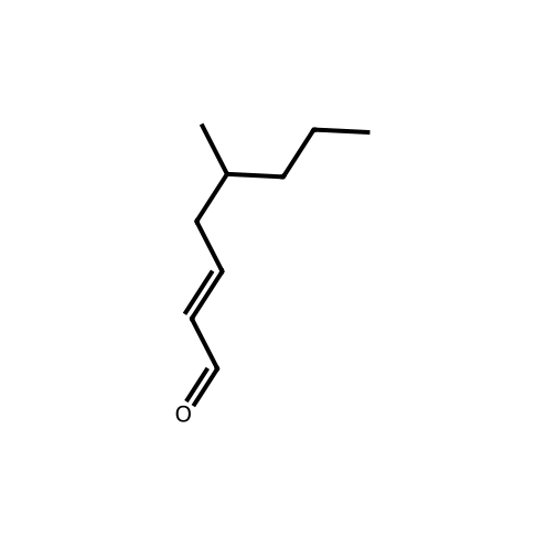 CCCC(C)C/C=C/C=O